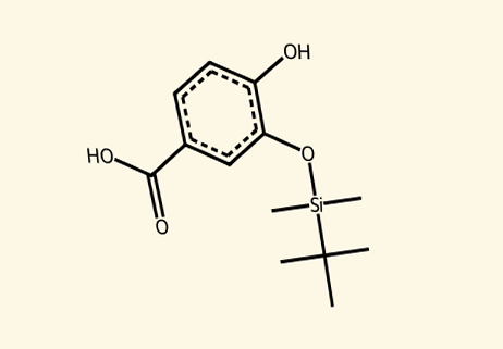 CC(C)(C)[Si](C)(C)Oc1cc(C(=O)O)ccc1O